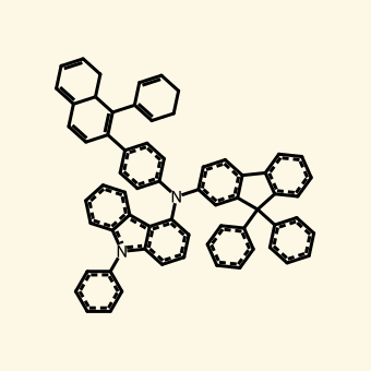 C1=CCC2C(=C1)C=CC(c1ccc(N(c3ccc4c(c3)C(c3ccccc3)(c3ccccc3)c3ccccc3-4)c3cccc4c3c3ccccc3n4-c3ccccc3)cc1)=C2C1=CCCC=C1